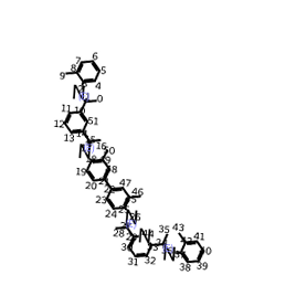 C/C(=N\c1ccccc1C)c1cccc(/C(C)=N/c2ccc(-c3ccc(/N=C(\C)c4cccc(/C(C)=N/c5ccccc5C)n4)c(C)c3)cc2C)c1